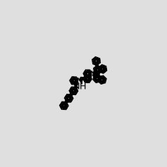 C(=N\c1ccccc1Nc1ccc(-c2ccc(-c3ccccc3)cc2)cc1)/c1cccc2c(-n3c4ccc5ccccc5c4c4c5ccccc5c(-c5ccccc5)cc43)cccc12